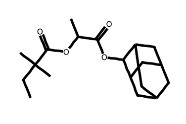 CCC(C)(C)C(=O)OC(C)C(=O)OC1C2CC3CC(C2)CC1C3